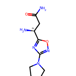 NC(=O)C[C@H](N)c1nc(N2CCCC2)no1